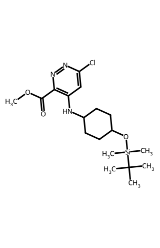 COC(=O)c1nnc(Cl)cc1NC1CCC(O[Si](C)(C)C(C)(C)C)CC1